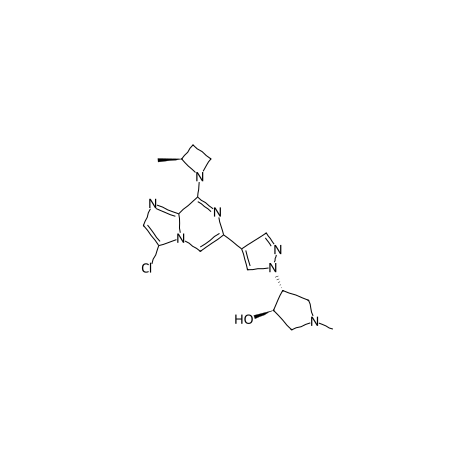 C[C@H]1CCN1c1nc(-c2cnn([C@@H]3CN(C)C[C@H]3O)c2)cn2c(Cl)cnc12